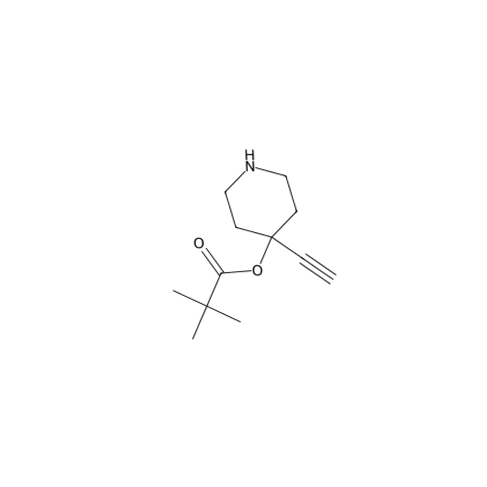 C#CC1(OC(=O)C(C)(C)C)CCNCC1